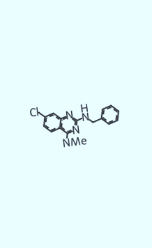 CNc1nc(NCc2ccccc2)nc2cc(Cl)ccc12